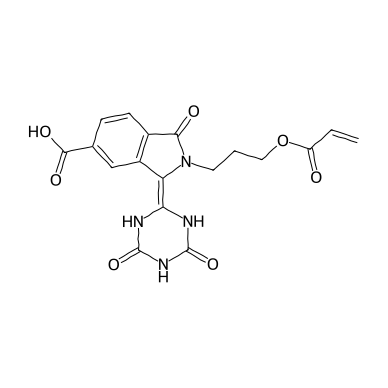 C=CC(=O)OCCCN1C(=O)c2ccc(C(=O)O)cc2C1=C1NC(=O)NC(=O)N1